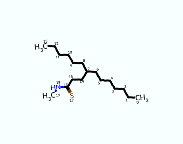 CCCCCCCC(CCCCCC)CCC(=S)NC